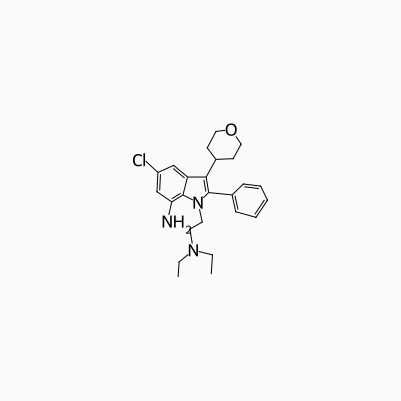 CCN(CC)CCn1c(-c2ccccc2)c(C2CCOCC2)c2cc(Cl)cc(N)c21